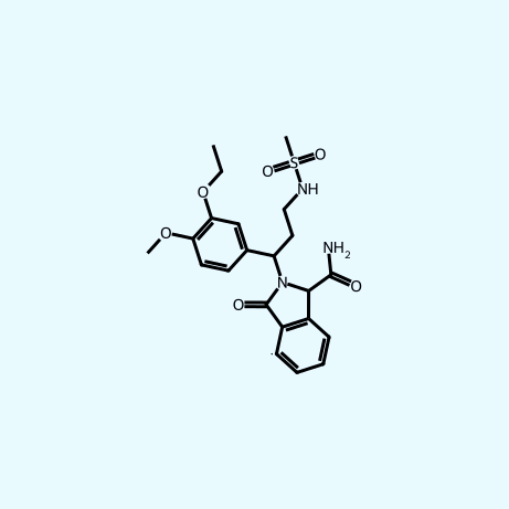 CCOc1cc(C(CCNS(C)(=O)=O)N2C(=O)c3[c]cccc3C2C(N)=O)ccc1OC